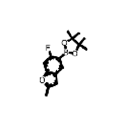 Cc1cc2cc(B3OC(C)(C)C(C)(C)O3)c(F)cc2o1